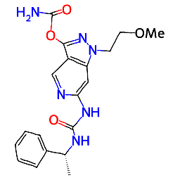 COCCn1nc(OC(N)=O)c2cnc(NC(=O)N[C@H](C)c3ccccc3)cc21